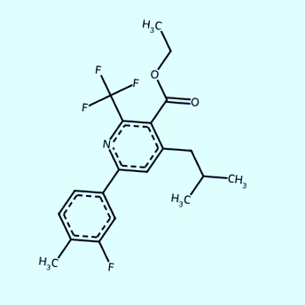 CCOC(=O)c1c(CC(C)C)cc(-c2ccc(C)c(F)c2)nc1C(F)(F)F